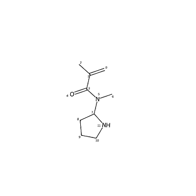 C=C(C)C(=O)N(C)C1CCCN1